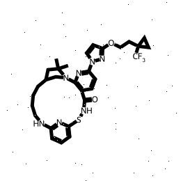 CC1(C)CC2CCCCNc3cccc(n3)SNC(=O)c3ccc(-n4ccc(OCCC5(C(F)(F)F)CC5)n4)nc3N1C2